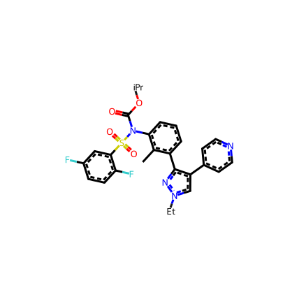 CCn1cc(-c2ccncc2)c(-c2cccc(N(C(=O)OC(C)C)S(=O)(=O)c3cc(F)ccc3F)c2C)n1